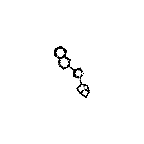 c1ccc2nc(-c3cnn(C4CC5CC(C4)N5)c3)cnc2c1